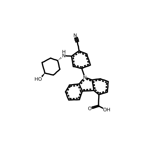 N#Cc1ccc(-n2c3ccccc3c3c(C(=O)O)cccc32)cc1N[C@H]1CC[C@H](O)CC1